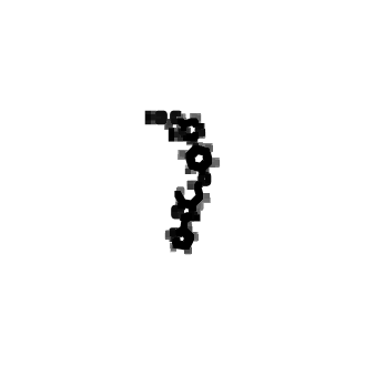 Cc1oc(-c2cccs2)nc1CCOc1ccc([C@@H]2NC(C(=O)O)CS2)cc1